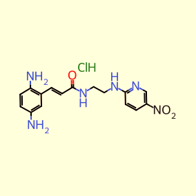 Cl.Nc1ccc(N)c(/C=C/C(=O)NCCNc2ccc([N+](=O)[O-])cn2)c1